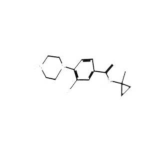 CC1(NC(=O)c2ccc(N3CCNCC3)c(Cl)c2)CC1